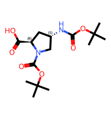 CC(C)(C)OC(=O)N[C@H]1C[C@H](C(=O)O)N(C(=O)OC(C)(C)C)C1